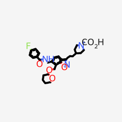 O=C(NCc1ccc2c(CCC3CCN(C(=O)O)CC3)noc2c1COC1CCCCO1)c1ccc(F)cc1